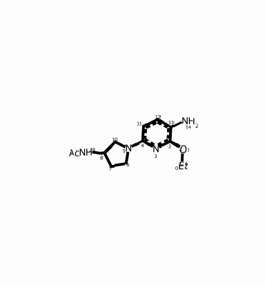 CCOc1nc(N2CCC(NC(C)=O)C2)ccc1N